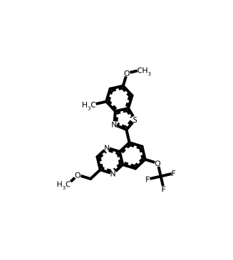 COCc1cnc2c(-c3nc4c(C)cc(OC)cc4s3)cc(OC(F)(F)F)cc2n1